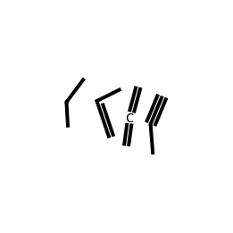 C#CC.C=C=C.C=CC.CCC